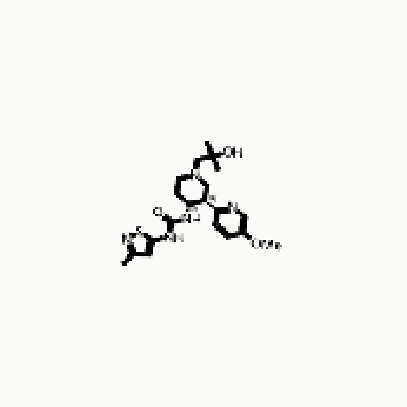 COc1ccc([C@@H]2CN(CC(C)(C)O)CC[C@H]2NC(=O)Nc2cc(C)ns2)nc1